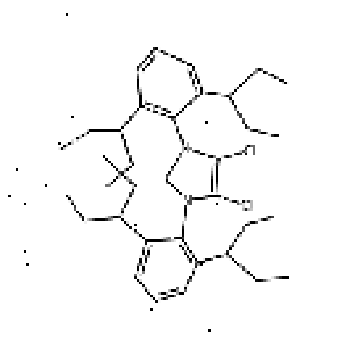 CCC(CC)c1cccc(C(CC)CC)c1N1CN(c2c(C(CC)CC)cccc2C(CC)CC)C(Cl)=C1Cl